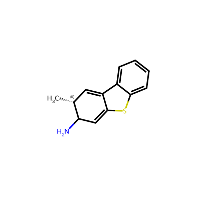 C[C@@H]1C=c2c(sc3ccccc23)=CC1N